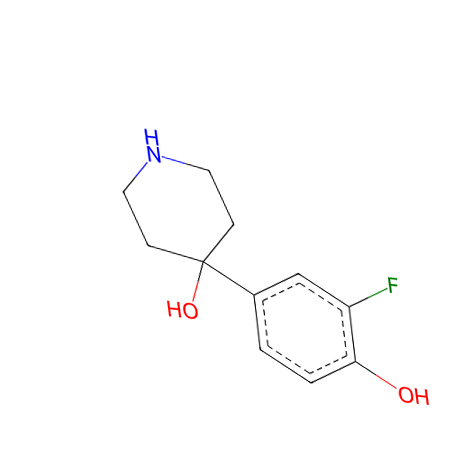 Oc1ccc(C2(O)CCNCC2)cc1F